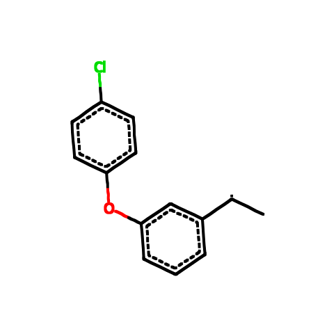 C[CH]c1cccc(Oc2ccc(Cl)cc2)c1